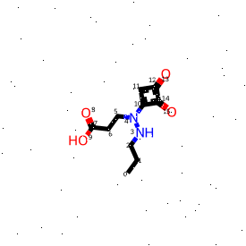 CCCNN(CCC(=O)O)c1cc(=O)c1=O